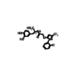 O=C(COc1cc(C(F)(F)F)nn1-c1ccccc1Cl)N[C@@H](Cc1ccc(O)c(O)c1)C(=O)O